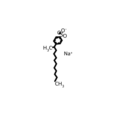 CCCCCCCCCCCC(C)c1ccc(S(=O)(=O)[O-])cc1.[Na+]